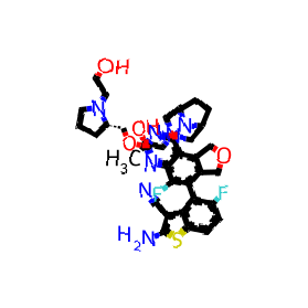 CC(O)CN1CC2CCC(C1)N2c1nc(OC[C@@H]2CCCN2CCO)nc2c(F)c(-c3c(F)ccc4sc(N)c(C#N)c34)c3c(c12)COC3